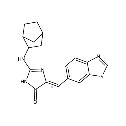 O=C1NC(NC2CC3CCC2C3)=N/C1=C\c1ccc2ncsc2c1